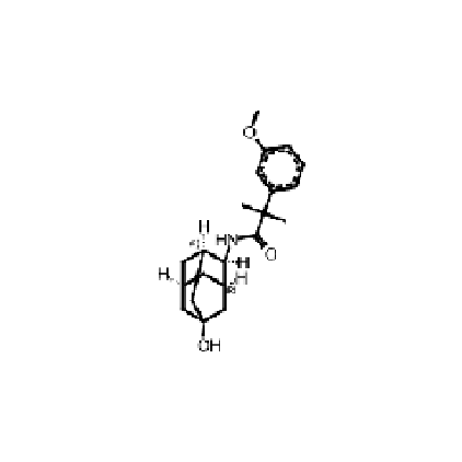 COc1cccc(C(C)(C)C(=O)N[C@H]2[C@@H]3C[C@@H]4C[C@@H]2C[C@](O)(C3)C4)c1